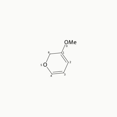 COC1=CC=COC1